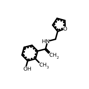 C=C(NCc1ccco1)c1cccc(O)c1C